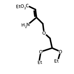 CCOC(=O)C=C(N)COCC(OCC)OCC